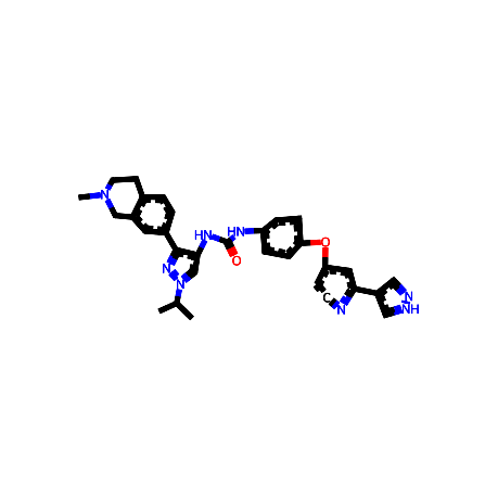 CC(C)n1cc(NC(=O)Nc2ccc(Oc3ccnc(-c4cn[nH]c4)c3)cc2)c(-c2ccc3c(c2)CN(C)CC3)n1